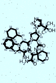 CC(C)(O)c1cnnn1[C@H]1C[C@@H](C(=O)NC2(C(=O)C(N)=O)CCOCC2)N(C(=O)[C@@H](CC2CCCCC2)N2c3ccccc3SC2C(N)=O)C1